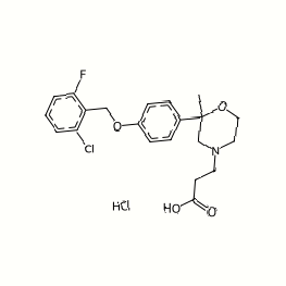 CC1(c2ccc(OCc3c(F)cccc3Cl)cc2)CN(CCC(=O)O)CCO1.Cl